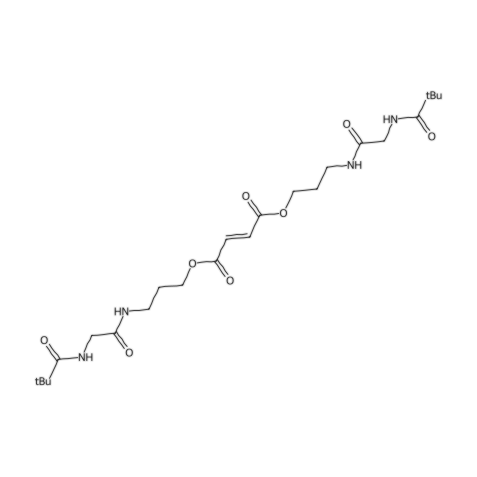 CC(C)(C)C(=O)NCC(=O)NCCCOC(=O)/C=C/C(=O)OCCCNC(=O)CNC(=O)C(C)(C)C